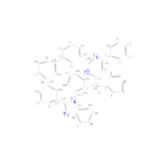 C[Si]1(C)c2ccccc2-c2c(-c3ccccc3)nc(-c3cccc(-c4cccc(-c5cccc(-c6nc7ccccc7n6-c6ccccc6)c5)c4)c3)nc21